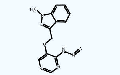 Cn1nc(COc2cncnc2NN=S)c2ccccc21